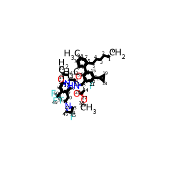 C=CCCCCc1cc(C)cc(C)c1-c1cc(C2CC2)c(F)c([C@H](CC(=O)OCC)NC(=O)[C@H](CC=C)n2cc(CCN3CC(F)C3)c(C(F)(F)F)cc2=O)c1